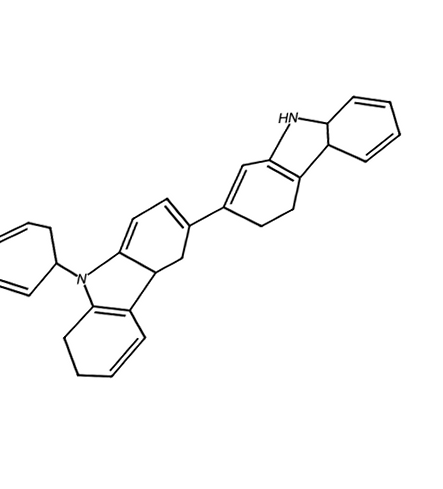 C1=CCC(N2C3=CC=C(C4=CC5=C(CC4)C4C=CC=CC4N5)CC3C3=C2CCC=C3)C=C1